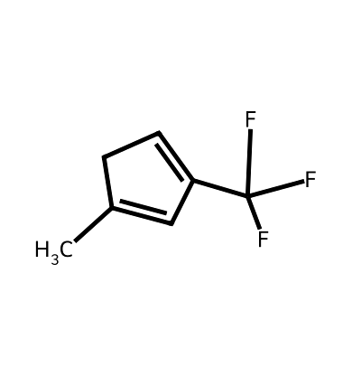 CC1=CC(C(F)(F)F)=CC1